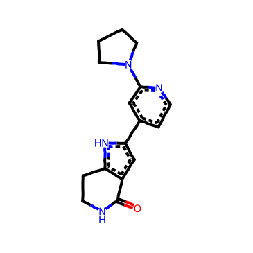 O=C1NCCc2[nH]c(-c3ccnc(N4CCCC4)c3)cc21